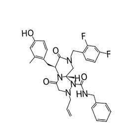 C=CCN1CC(=O)N2[C@@H](Cc3ccc(O)cc3C)C(=O)N(Cc3ccc(F)cc3F)C[C@@H]2N1C(=O)NCc1ccccc1